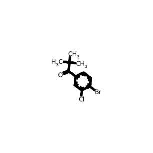 CC(C)(C)C(=O)c1ccc(Br)c(Cl)c1